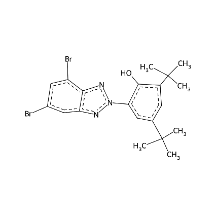 CC(C)(C)c1cc(-n2nc3cc(Br)cc(Br)c3n2)c(O)c(C(C)(C)C)c1